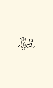 c1ccc(-c2cc3nccnc3cc2-n2c3ccccc3c3cc4c5ccccc5n(-c5ccccc5)c4cc32)cc1